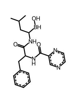 CC(C)CC(BO)NC(=O)C(Cc1ccccc1)NC(=O)c1cnccn1